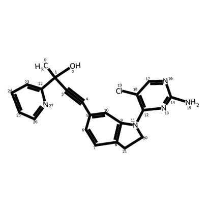 CC(O)(C#Cc1ccc2c(c1)N(c1nc(N)ncc1Cl)CC2)c1ccccn1